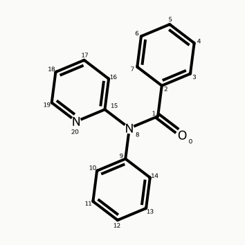 O=C(c1ccccc1)N(c1ccccc1)c1ccccn1